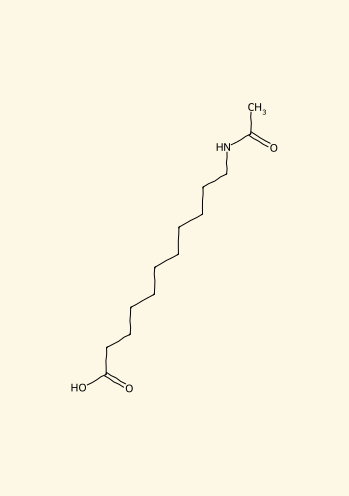 CC(=O)NCCCCCCCCCCC(=O)O